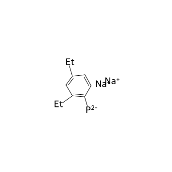 CCc1ccc([P-2])c(CC)c1.[Na+].[Na+]